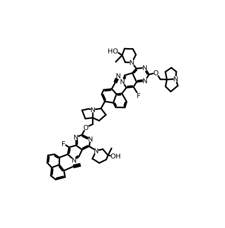 C#Cc1cccc2cccc(-c3ncc4c(N5CCCC(C)(O)C5)nc(OCC56CCCN5C(c5ccc(C#N)c7c(-c8ncc9c(N%10CCCC(C)(O)C%10)nc(OCC%10%11CCCN%10CCC%11)nc9c8F)cccc57)CC6)nc4c3F)c12